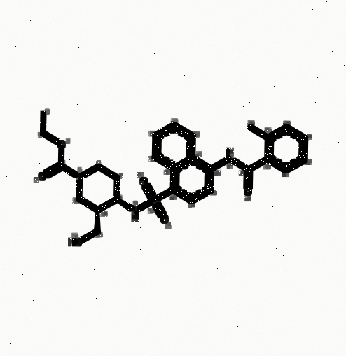 CCOC(=O)N1CC[C@@H](NS(=O)(=O)c2ccc(NC(=O)c3ccccc3C)c3ccccc23)[C@@H](CO)C1